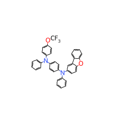 FC(F)(F)Oc1ccc(N(c2ccccc2)c2ccc(N(c3ccccc3)c3ccc4oc5ccccc5c4c3)cc2)cc1